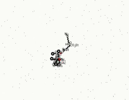 CCOC(=O)[C@H](CCCCNC(=O)COCC(=O)O[C@@H](C(=O)O[C@H]1C[C@@]2(O)[C@@H](OC(=O)c3ccccc3)[C@@H]3[C@]4(OC(C)=O)CO[C@@H]4C[C@H](O)[C@@]3(C)C(=O)[C@H](OC(C)=O)C(=C1C)C2(C)C)[C@@H](NC(=O)c1ccccc1)c1ccccc1)NC(=O)CCCCCN=[N+]=[N-]